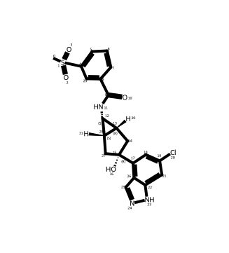 CS(=O)(=O)c1cccc(C(=O)N[C@@H]2[C@@H]3C[C@@](O)(c4cc(Cl)cc5[nH]ncc45)C[C@@H]32)c1